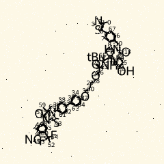 Cc1ncsc1-c1ccc(CNC(=O)[C@@H]2C[C@H](O)CN2C(=O)C(NC(=O)COCCCCOc2ccc(-c3ccc(N4C(=S)N(c5ccc(C#N)c(C(C)(F)F)c5)C(=O)C4(C)C)cc3)cc2)C(C)(C)C)cc1